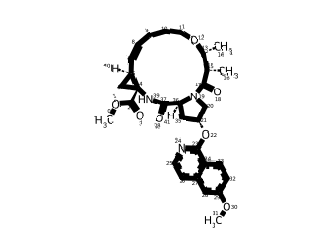 COC(=O)[C@@]12C[C@H]1/C=C\CCCO[C@H](C)[C@H](C)C(=O)N1C[C@H](Oc3nccc4cc(OC)ccc34)C[C@H]1C(=O)N2